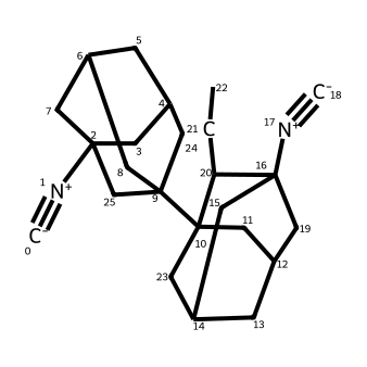 [C-]#[N+]C12CC3CC(C1)CC(C14CC5CC(CC([N+]#[C-])(C5)C1CC)C4)(C3)C2